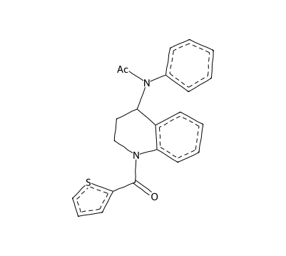 CC(=O)N(c1ccccc1)C1CCN(C(=O)c2cccs2)c2ccccc21